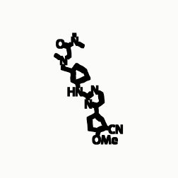 COc1ccc(-c2ccnc(Nc3cccc(CN(C)CC(=O)N(C)C)c3)n2)cc1C#N